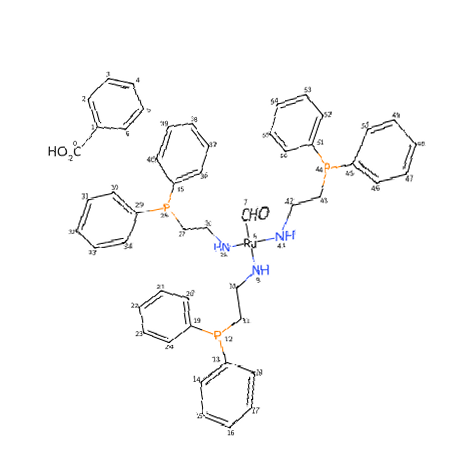 O=C(O)c1ccccc1.O=[CH][Ru]([NH]CCP(c1ccccc1)c1ccccc1)([NH]CCP(c1ccccc1)c1ccccc1)[NH]CCP(c1ccccc1)c1ccccc1